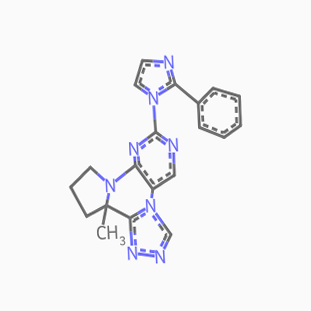 CC12CCCN1c1nc(-n3ccnc3-c3ccccc3)ncc1-n1cnnc12